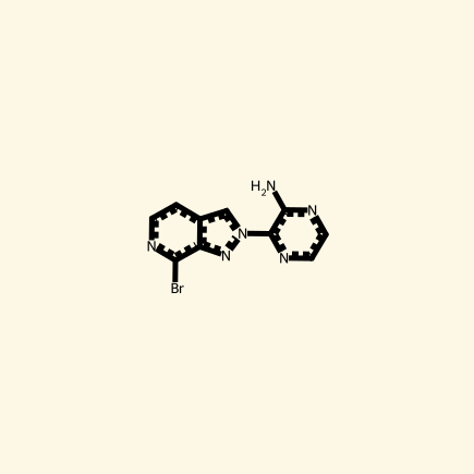 Nc1nccnc1-n1cc2ccnc(Br)c2n1